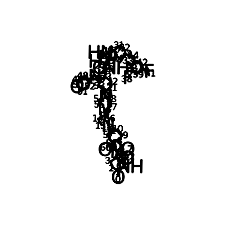 O=C1CCC(N2C(=O)c3ccc(N4CCC(N5CCN(c6ccc(C(=O)Nc7n[nH]c8ccc(Cc9cc(F)cc(F)c9)cc78)c(NC7CCOCC7)c6)CC5)C4)cc3C2=O)C(=O)N1